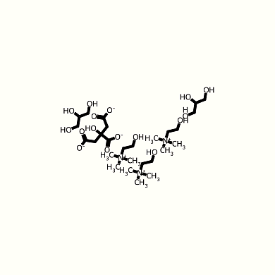 C[N+](C)(C)CCO.C[N+](C)(C)CCO.C[N+](C)(C)CCO.O=C([O-])CC(O)(CC(=O)[O-])C(=O)[O-].OCC(O)CO.OCC(O)CO